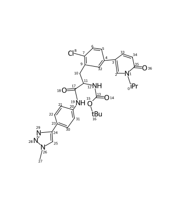 CC(C)n1cc(-c2ccc(Cl)c(CC(NC(=O)OC(C)(C)C)C(=O)Nc3ccc(-c4cn(C)nn4)cc3)c2)ccc1=O